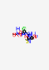 COCCNC(=O)OCc1cc(Cl)cc(CN/C(N)=N\C(=O)c2c(-c3ccc(OC)cc3)nsc2C)c1